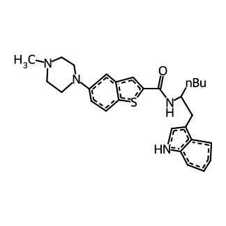 CCCCC(Cc1c[nH]c2ccccc12)NC(=O)c1cc2cc(N3CCN(C)CC3)ccc2s1